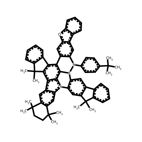 CC(C)(C)c1ccc(N2B3c4cc5c(cc4-n4c6cc7c(cc6c6c8c(c(c3c64)-c3cc4oc6ccccc6c4cc32)-c2ccccc2C8(C)C)C(C)(C)CCC7(C)C)C(C)(C)c2ccccc2-5)cc1